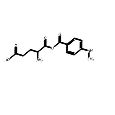 CNc1ccc(C(=O)OC(=O)C(N)CCC(=O)O)cc1